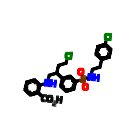 O=C(O)c1ccccc1NCC(CCCl)c1cccc(S(=O)(=O)NCCc2ccc(Cl)cc2)c1